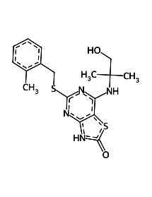 Cc1ccccc1CSc1nc(NC(C)(C)CO)c2sc(=O)[nH]c2n1